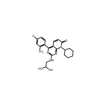 Cc1cc(F)ccc1-c1nc(NCC(O)O)nc2c1ccc(=O)n2C1CCCCC1